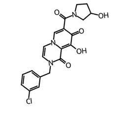 O=C(c1cn2ccn(Cc3cccc(Cl)c3)c(=O)c2c(O)c1=O)N1CCC(O)C1